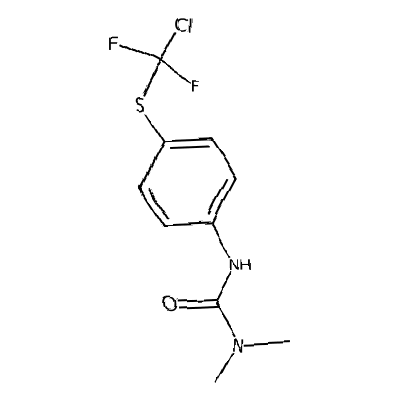 CN(C)C(=O)Nc1ccc(SC(F)(F)Cl)cc1